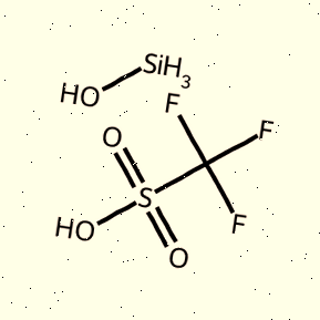 O=S(=O)(O)C(F)(F)F.O[SiH3]